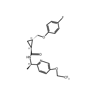 C[C@@H](NC(=O)[C@H]1C[C@@H]1COc1ccc(F)cc1)c1ccc(OCC(F)(F)F)cn1